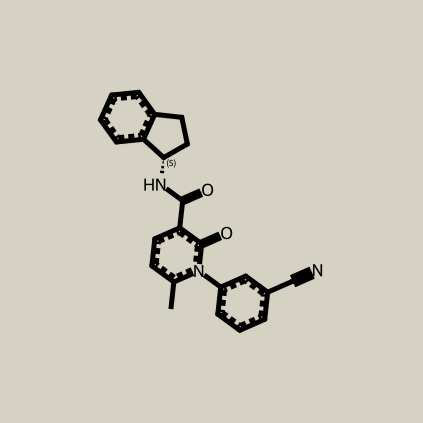 Cc1ccc(C(=O)N[C@H]2CCc3ccccc32)c(=O)n1-c1cccc(C#N)c1